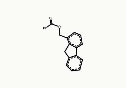 O=C(Br)OCc1cccc2c1Cc1ccccc1-2